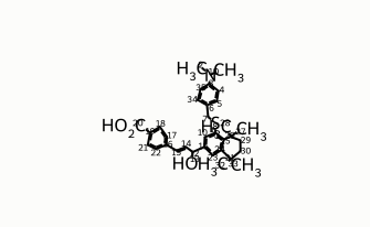 CN(C)c1ccc(CSc2cc(C(O)/C=C/c3ccc(C(=O)O)cc3)cc3c2C(C)(C)CCC3(C)C)cc1